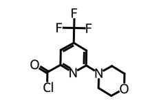 O=C(Cl)c1cc(C(F)(F)F)cc(N2CCOCC2)n1